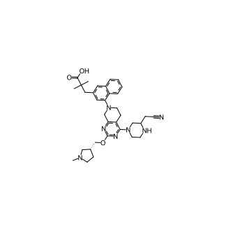 CN1CC[C@@H](COc2nc3c(c(N4CCNC(CC#N)C4)n2)CCN(c2cc(CC(C)(C)C(=O)O)cc4ccccc24)C3)C1